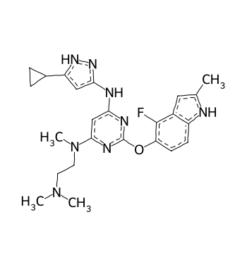 Cc1cc2c(F)c(Oc3nc(Nc4cc(C5CC5)[nH]n4)cc(N(C)CCN(C)C)n3)ccc2[nH]1